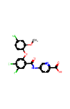 COc1cc(Cl)ccc1Oc1cc(Cl)c(Cl)cc1C(=O)Nc1ccc(C(=O)O)nc1